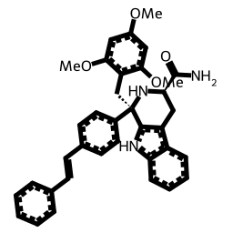 COc1cc(OC)c(C[C@]2(c3ccc(C=Cc4ccccc4)cc3)N[C@@H](C(N)=O)Cc3c2[nH]c2ccccc32)c(OC)c1